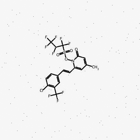 Cc1cc(C=Cc2ccc(Cl)c(C(F)(F)F)c2)n(OS(=O)(=O)C(F)(F)C(F)C(F)(F)F)c(=O)c1